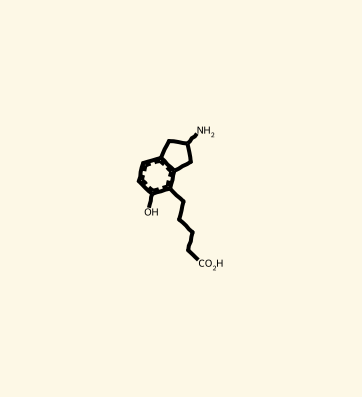 NC1Cc2ccc(O)c(CCCCC(=O)O)c2C1